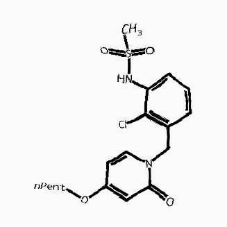 CCCCCOc1ccn(Cc2cccc(NS(C)(=O)=O)c2Cl)c(=O)c1